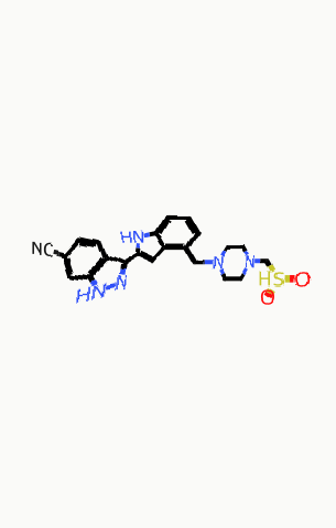 N#Cc1ccc2c(-c3cc4c(CN5CCN(C[SH](=O)=O)CC5)cccc4[nH]3)n[nH]c2c1